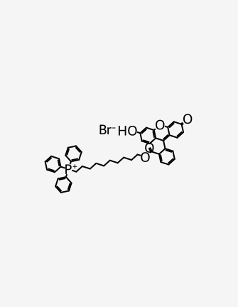 O=C(OCCCCCCCCCC[P+](c1ccccc1)(c1ccccc1)c1ccccc1)c1ccccc1-c1c2ccc(=O)cc-2oc2cc(O)ccc12.[Br-]